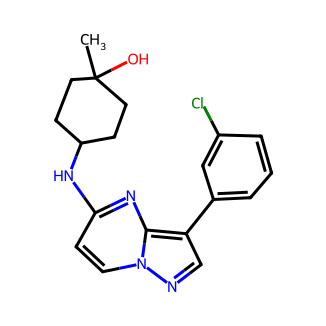 CC1(O)CCC(Nc2ccn3ncc(-c4cccc(Cl)c4)c3n2)CC1